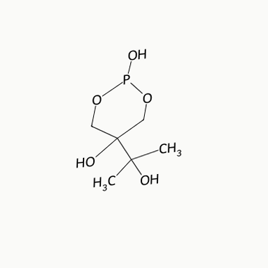 CC(C)(O)C1(O)COP(O)OC1